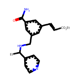 CCOC(=O)/C=C/c1cc(CNC(CC)c2ccncc2)cc(C(N)=O)c1